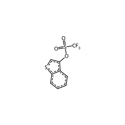 O=S(=O)(Oc1csc2ccccc12)C(F)(F)F